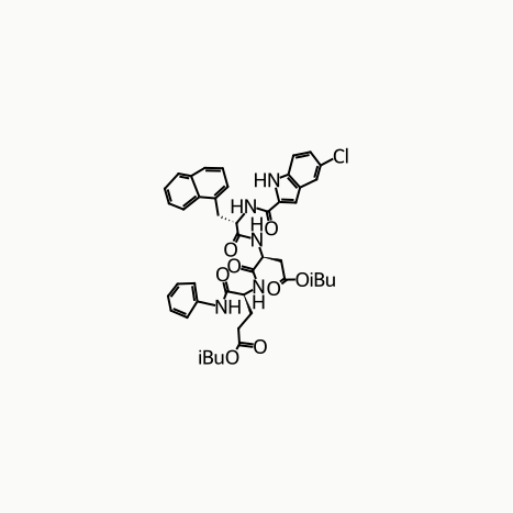 CC(C)COC(=O)CC[C@H](NC(=O)[C@H](CC(=O)OCC(C)C)NC(=O)[C@H](Cc1cccc2ccccc12)NC(=O)c1cc2cc(Cl)ccc2[nH]1)C(=O)Nc1ccccc1